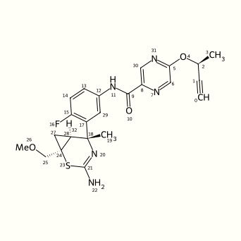 C#C[C@H](C)Oc1cnc(C(=O)Nc2ccc(F)c([C@]3(C)N=C(N)S[C@@]4(COC)C[C@H]43)c2)cn1